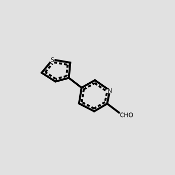 O=Cc1ccc(-c2ccsc2)cn1